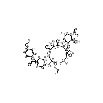 CCCN1C[C@H](C)C[C@@](C)(OC)[C@H](O[C@@H]2O[C@H](C)C[C@H](N(C)C)[C@H]2O)[C@@H](C)C(=O)C(C)(C)C(=O)O[C@@H](C)[C@@H]1CN1CCN(C(=O)c2ccc(OC)cc2)CC1